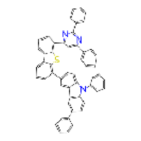 c1ccc(-c2ccc3c(c2)c2cc(-c4cccc5c4sc4c(-c6cc(-c7ccccc7)nc(-c7ccccc7)n6)cccc45)ccc2n3-c2ccccc2)cc1